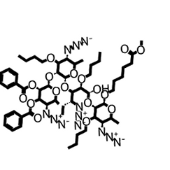 CCCCOC1[C@H](N=[N+]=[N-])C(C)O[C@H](OC([C@@H](OCCCC)[C@H](O)O[C@@H]2C(OCCCC)[C@H](N=[N+]=[N-])C(C)O[C@@H]2OCCCCCC(=O)OC)[C@@H](CC)N=[N+]=[N-])[C@@H]1O[C@H]1OC(C)[C@@H](N=[N+]=[N-])C(OC(=O)c2ccccc2)[C@H]1OC(=O)c1ccccc1